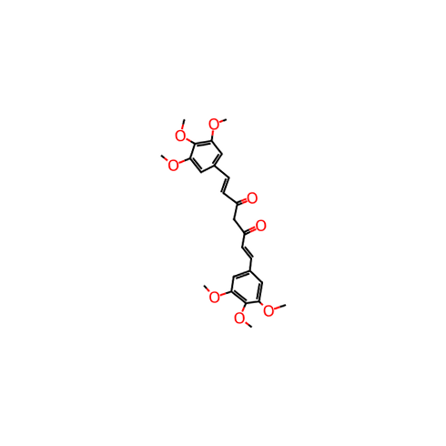 COc1cc(/C=C/C(=O)CC(=O)/C=C/c2cc(OC)c(OC)c(OC)c2)cc(OC)c1OC